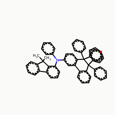 CC1(C)c2ccccc2-c2cccc(N(c3ccccc3)c3ccc4c(c3)-c3ccccc3C(c3ccccc3)(c3ccccc3)C4(c3ccccc3)c3ccccc3)c21